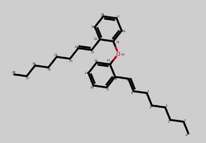 CCCCCC/C=C/c1ccccc1Oc1ccccc1/C=C/CCCCCC